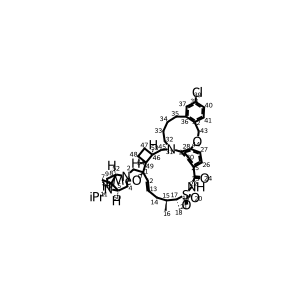 CO[C@]1(CN2C[C@@H]3[C@H](C)[C@H]2CN3C(C)C)/C=C/C[C@H](C)[C@@H](C)S(=O)(=O)NC(=O)c2ccc3c(c2)N(CCCCc2cc(Cl)ccc2CO3)C[C@@H]2CC[C@H]21